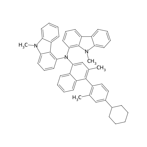 Cc1cc(C2CCCCC2)ccc1-c1c(C)cc(N(c2cccc3c2c2ccccc2n3C)c2cccc3c4ccccc4n(C)c23)c2ccccc12